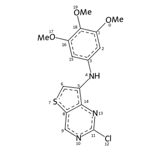 COc1cc(Nc2csc3cnc(Cl)nc23)cc(OC)c1OC